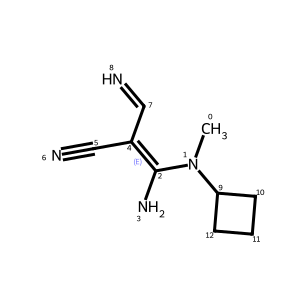 CN(/C(N)=C(/C#N)C=N)C1CCC1